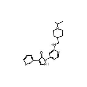 CC(C)N1CCC(CNc2cc(-n3[nH]cc(-c4cccnc4)c3=O)ncn2)CC1